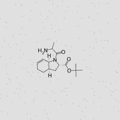 CC(N)C(=O)N1[C@@H]2C=CCC[C@@H]2C[C@H]1C(=O)OC(C)(C)C